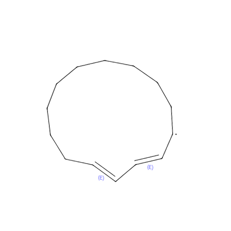 [CH]1/C=C/C=C/CCCCCCCCC1